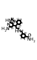 NC(=O)c1cccc(CNCCC(c2ccccc2)c2cc(N)nc3[nH]nnc23)c1